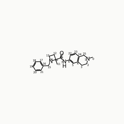 CN1CCc2cc(NC(=O)C3(C)CCN3Cc3ccccc3)ccc2C1